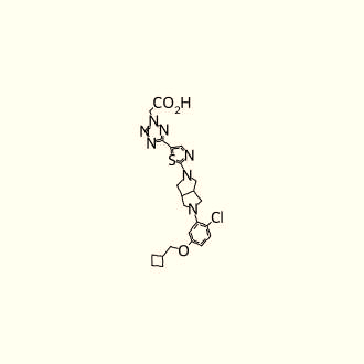 O=C(O)Cn1nnc(-c2cnc(N3CC4CN(c5cc(OCC6CCC6)ccc5Cl)CC4C3)s2)n1